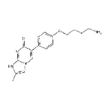 Cc1cn2cc(-c3ccc(OCCCCN)cc3)c(=O)nc2[nH]1